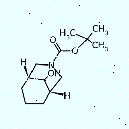 CC(C)(C)OC(=O)N1C[C@H]2CCC[C@@H](C1)C2O